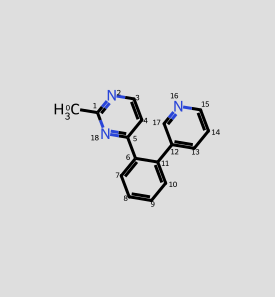 Cc1nccc(-c2ccccc2-c2cccnc2)n1